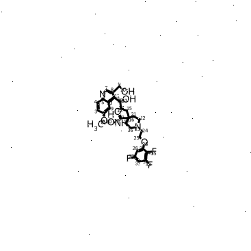 COc1ccc2ncc(CO)c([C@H](O)CCC3(C(=O)NO)CCN(CCOc4cc(F)cc(F)c4F)CC3)c2c1